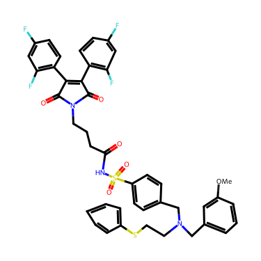 COc1cccc(CN(CCSc2ccccc2)Cc2ccc(S(=O)(=O)NC(=O)CCCN3C(=O)C(c4ccc(F)cc4F)=C(c4ccc(F)cc4F)C3=O)cc2)c1